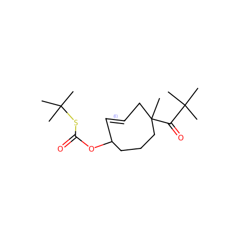 CC(C)(C)SC(=O)OC1/C=C/CC(C)(C(=O)C(C)(C)C)CCC1